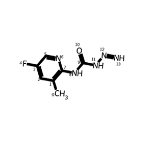 Cc1cc(F)cnc1NC(=O)NN=N